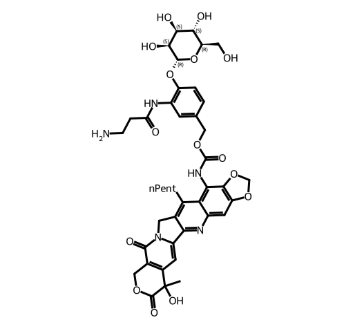 CCCCCc1c2c(nc3cc4c(c(NC(=O)OCc5ccc(O[C@H]6O[C@H](CO)[C@@H](O)[C@H](O)[C@@H]6O)c(NC(=O)CCN)c5)c13)OCO4)-c1cc3c(c(=O)n1C2)COC(=O)C3(C)O